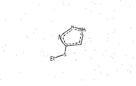 CCSc1c[nH]nn1